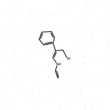 C=CN/C=C(\CC(C)C)c1ccccc1